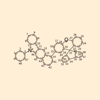 c1ccc(-n2c3ccccc3c3cc4c(-c5ccc6c(c5)C5(c7ccccc7O6)c6ccccc6-c6ccccc65)cccc4cc32)cc1